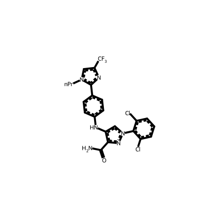 CCCn1cc(C(F)(F)F)nc1-c1ccc(Nc2cn(-c3c(Cl)cccc3Cl)nc2C(N)=O)cc1